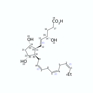 CC/C=C\C/C=C\C/C=C\C[C@@H]1[C@H](/C=C/[C@@H](O)CCC(=O)O)[C@@H](O)C[C@H]1O